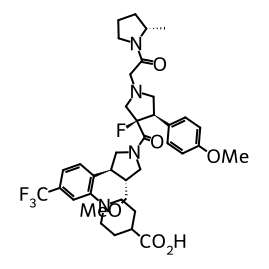 COC[C@H]1CN(C(=O)[C@]2(F)CN(CC(=O)N3CCC[C@@H]3C)C[C@H]2c2ccc(OC)cc2)C[C@@H]1c1ccc(C(F)(F)F)cc1N1CCC(C(=O)O)CC1